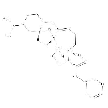 CN(C)C1CCC2=CC3=CCC[C@]4(C)[C@@H](C(=O)Nc5cccnc5)CC[C@H]4[C@@]34CC[C@]2(C1)O4